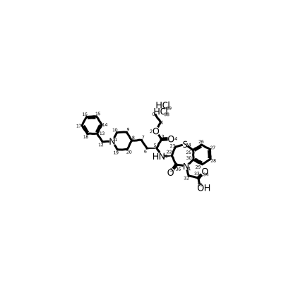 CCOC(=O)[C@H](CCC1CCN(Cc2ccccc2)CC1)N[C@H]1CSc2ccccc2N(CC(=O)O)C1=O.Cl.Cl